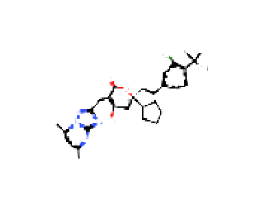 Cc1cc(C)n2nc(CC3=C(O)C[C@@](CCc4ccc(C(C)(C)C#N)c(Cl)c4)(C4CCCC4)OC3=O)nc2n1